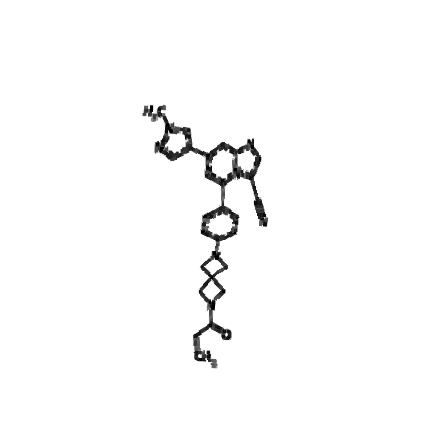 C=CC(=O)N1CC2(C1)CN(c1ccc(-c3cc(-c4cnn(C)c4)cc4ncc(C#N)n34)cc1)C2